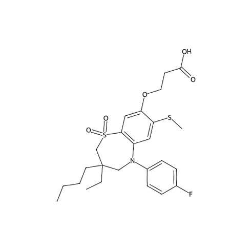 CCCCC1(CC)CN(c2ccc(F)cc2)c2cc(SC)c(OCCC(=O)O)cc2S(=O)(=O)C1